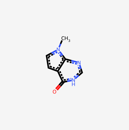 Cn1ccc2c(=O)[nH]cnc21